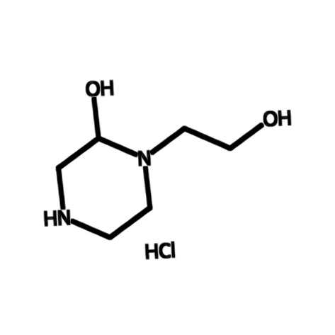 Cl.OCCN1CCNCC1O